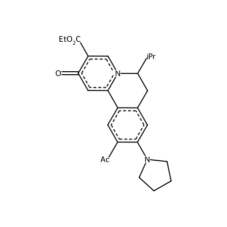 CCOC(=O)c1cn2c(cc1=O)-c1cc(C(C)=O)c(N3CCCC3)cc1CC2C(C)C